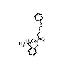 COc1ccccc1CN(C)C(=O)CCCSc1ccccn1